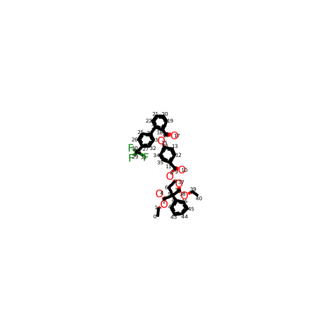 CCOC(=O)C(CCOC(=O)c1ccc(OC(=O)c2ccccc2-c2ccc(C(F)(F)F)cc2)cc1)(C(=O)OCC)c1ccccc1